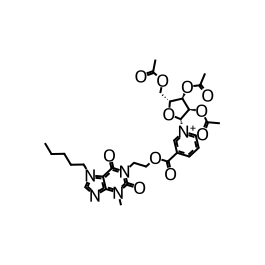 CCCCCn1cnc2c1c(=O)n(CCOC(=O)c1ccc[n+]([C@@H]3O[C@H](COC(C)=O)[C@@H](OC(C)=O)[C@H]3OC(C)=O)c1)c(=O)n2C